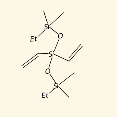 C=C[Si](C=C)(O[Si](C)(C)CC)O[Si](C)(C)CC